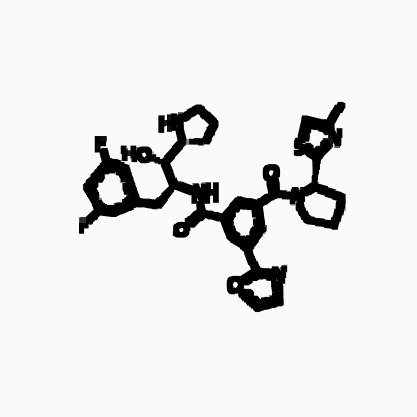 Cc1csc([C@H]2CCCN2C(=O)c2cc(C(=O)N[C@@H](Cc3cc(F)cc(F)c3)[C@H](O)[C@H]3CCCN3)cc(-c3ncco3)c2)n1